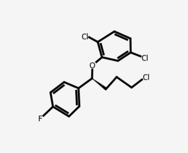 Fc1ccc([C@H](CCCCl)Oc2cc(Cl)ccc2Cl)cc1